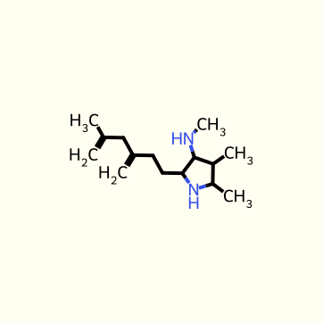 C=C(C)CC(=C)CCC1NC(C)C(C)C1NC